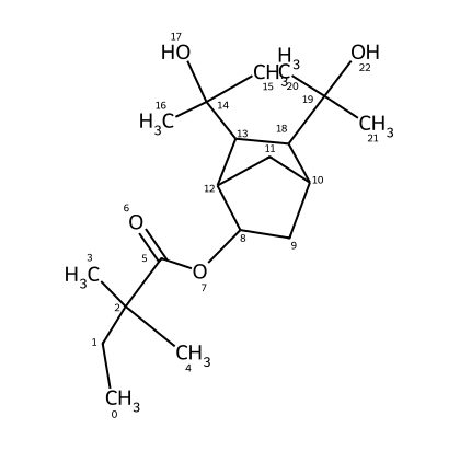 CCC(C)(C)C(=O)OC1CC2CC1C(C(C)(C)O)C2C(C)(C)O